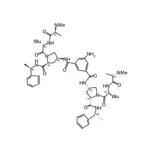 CN[C@@H](C)C(=O)N[C@H](C(=O)N1C[C@@H](NC(=O)c2cc(N)cc(C(=O)N[C@H]3C[C@@H](C(=O)N[C@H](C)c4ccccc4)N(C(=O)[C@@H](NC(=O)[C@H](C)NC)C(C)(C)C)C3)c2)C[C@H]1C(=O)N[C@H](C)c1ccccc1)C(C)(C)C